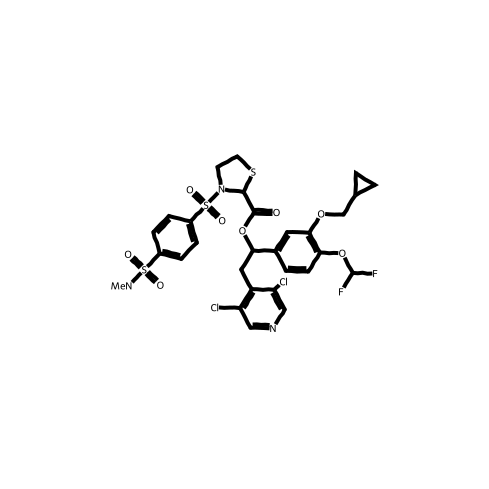 CNS(=O)(=O)c1ccc(S(=O)(=O)N2CCSC2C(=O)OC(Cc2c(Cl)cncc2Cl)c2ccc(OC(F)F)c(OCC3CC3)c2)cc1